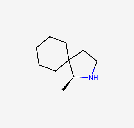 C[C@@H]1NCCC12CCCCC2